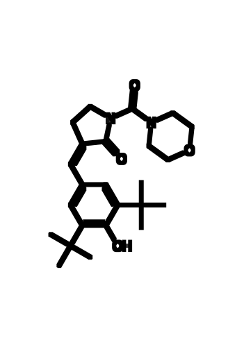 CC(C)(C)c1cc(/C=C2/CCN(C(=O)N3CCOCC3)C2=O)cc(C(C)(C)C)c1O